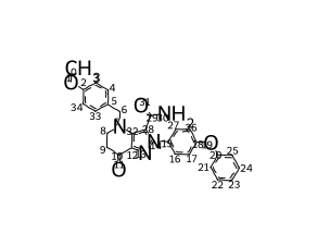 COc1ccc(CN2CCC(=O)c3nn(-c4ccc(Oc5ccccc5)cc4)c(C(N)=O)c32)cc1